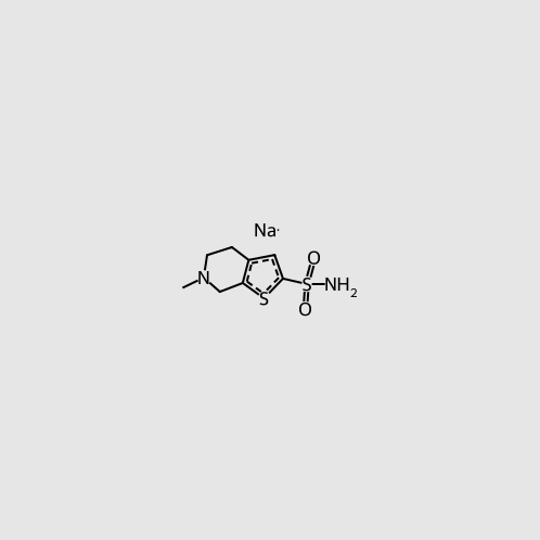 CN1CCc2cc(S(N)(=O)=O)sc2C1.[Na]